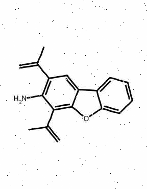 C=C(C)c1cc2c(oc3ccccc32)c(C(=C)C)c1N